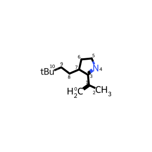 C=C(C)C1=NCCC1CCC(C)(C)C